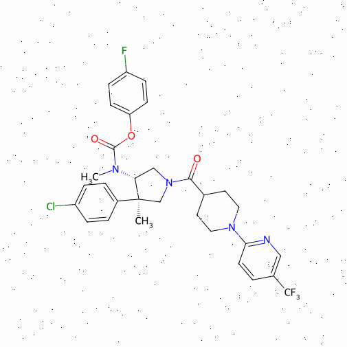 CN(C(=O)Oc1ccc(F)cc1)[C@@H]1CN(C(=O)C2CCN(c3ccc(C(F)(F)F)cn3)CC2)C[C@@]1(C)c1ccc(Cl)cc1